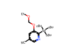 CCC[CH2][Sn]([CH2]CCC)([CH2]CCC)[c]1ncc(C#N)cc1OCOCC